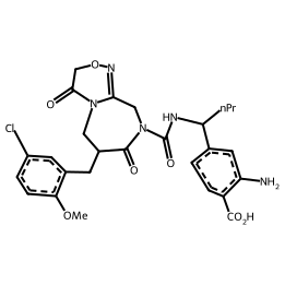 CCCC(NC(=O)N1CC2=NOCC(=O)N2CC(Cc2cc(Cl)ccc2OC)C1=O)c1ccc(C(=O)O)c(N)c1